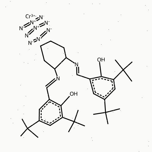 CC(C)(C)c1cc(C=NC2CCCCC2N=Cc2cc(C(C)(C)C)cc(C(C)(C)C)c2O)c(O)c(C(C)(C)C)c1.[Cr+3].[N-]=[N+]=[N-].[N-]=[N+]=[N-].[N-]=[N+]=[N-]